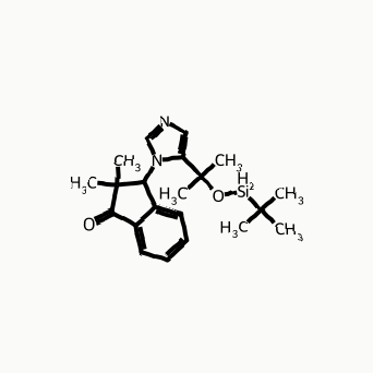 CC(C)(C)[SiH2]OC(C)(C)c1cncn1C1c2ccccc2C(=O)C1(C)C